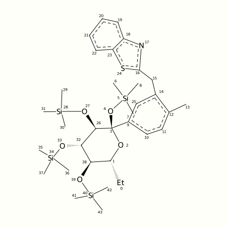 CC[C@H]1O[C@@](O[Si](C)(C)C)(c2ccc(C)c(Cc3nc4ccccc4s3)c2)[C@H](O[Si](C)(C)C)[C@@H](O[Si](C)(C)C)[C@@H]1O[Si](C)(C)C